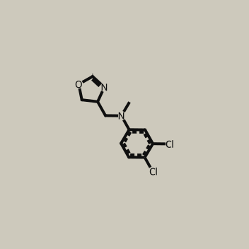 CN(CC1CO[C]=N1)c1ccc(Cl)c(Cl)c1